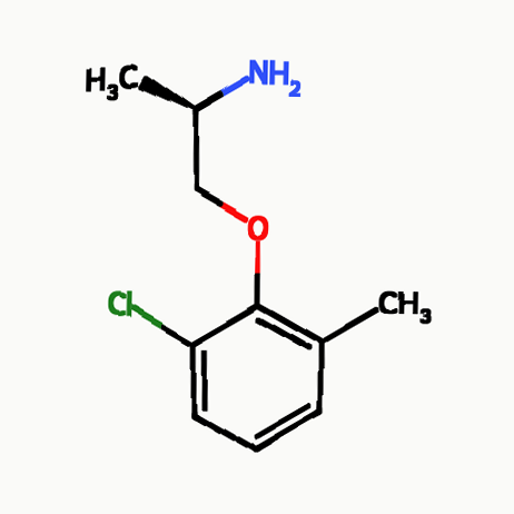 Cc1cccc(Cl)c1OC[C@@H](C)N